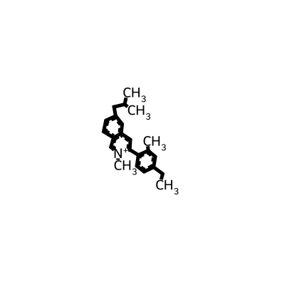 CCc1ccc(-c2cc3cc(CC(C)C)ccc3c[n+]2C)c(C)c1